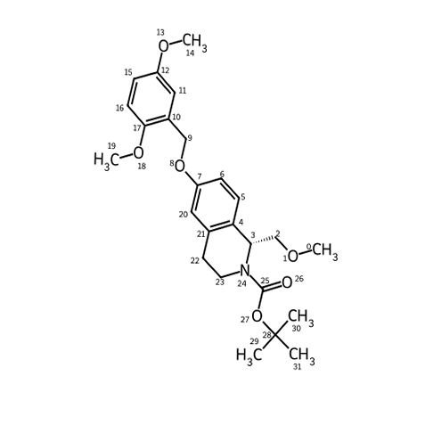 COC[C@H]1c2ccc(OCc3cc(OC)ccc3OC)cc2CCN1C(=O)OC(C)(C)C